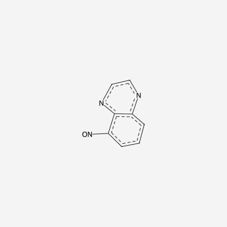 O=Nc1cccc2nccnc12